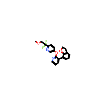 COCC(F)(F)c1ccc(Oc2ncccc2-c2cccc3c2OCC3)cn1